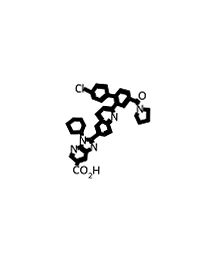 O=C(O)c1cnc2c(c1)nc(-c1ccc3nc(-c4cc(C(=O)N5CCCC5)ccc4-c4ccc(Cl)cc4)ccc3c1)n2C1CCCCC1